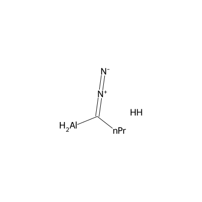 CCC[C]([AlH2])=[N+]=[N-].[HH]